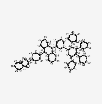 c1ccc(-c2cc(-c3cccc(-c4c5ccccc5c(-c5ccc(-c6nc7ccccc7o6)cc5)c5ccccc45)c3)c(-c3ccccc3)c(-c3ccccc3)c2-c2ccccc2)cc1